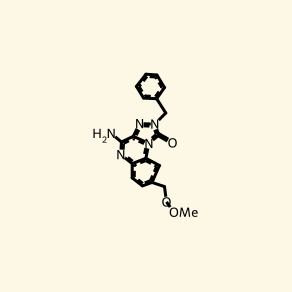 COOCc1ccc2nc(N)c3nn(Cc4ccccc4)c(=O)n3c2c1